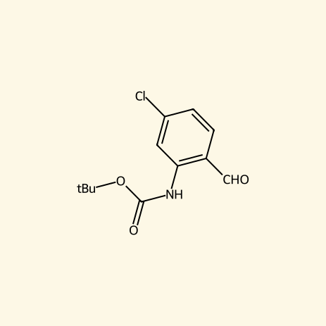 CC(C)(C)OC(=O)Nc1cc(Cl)ccc1C=O